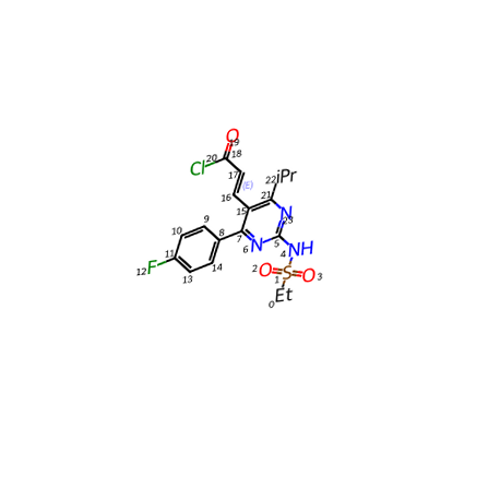 CCS(=O)(=O)Nc1nc(-c2ccc(F)cc2)c(/C=C/C(=O)Cl)c(C(C)C)n1